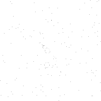 C=CCOC(=O)c1cc2cc(C(C)P(NC(C)C(=O)OCCC)Oc3ccccc3)ccc2s1